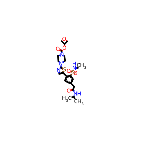 CCNS(=O)(=O)c1cc(CC(=O)NC(C)C)ccc1-c1cnc(N2CCN(C(=O)OC3COC3)CC2)s1